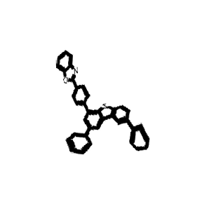 c1ccc(-c2ccc3sc4c(-c5ccc(-c6nc7ccccc7o6)cc5)cc(-c5ccccc5)cc4c3c2)cc1